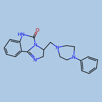 O=C1Nc2ccccc2C2=NCC(CN3CCN(c4ccccc4)CC3)N12